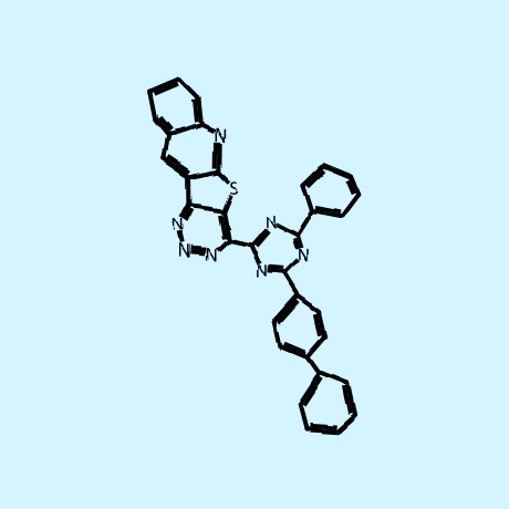 c1ccc(-c2ccc(-c3nc(-c4ccccc4)nc(-c4nnnc5c4sc4nc6ccccc6cc45)n3)cc2)cc1